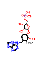 COc1c(CNc2ncnc3nc[nH]c23)ccc(OC2O[C@H](COP(=O)(O)O)[C@@H](O)[C@H]2O)c1O